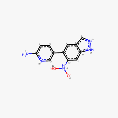 Nc1ccc(-c2cc3cn[nH]c3cc2[NH+]([O-])O)cn1